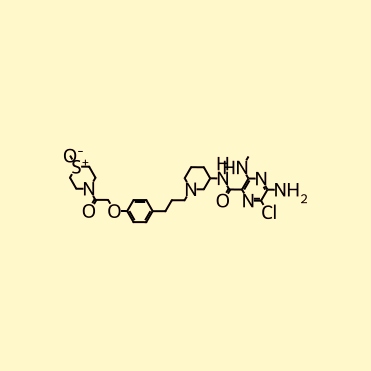 CNc1nc(N)c(Cl)nc1C(=O)NC1CCCN(CCCc2ccc(OCC(=O)N3CC[S+]([O-])CC3)cc2)C1